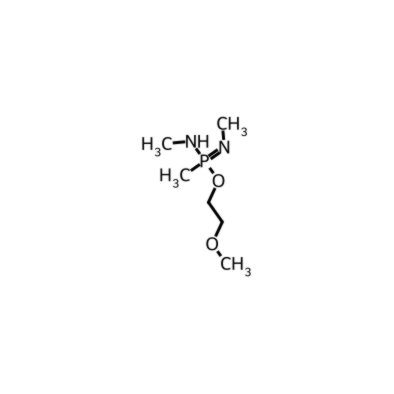 CN=P(C)(NC)OCCOC